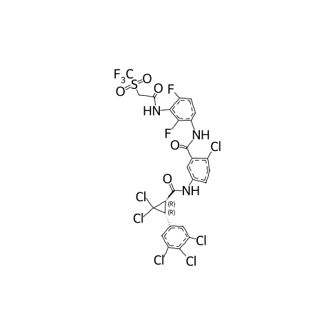 O=C(CS(=O)(=O)C(F)(F)F)Nc1c(F)ccc(NC(=O)c2cc(NC(=O)[C@H]3[C@H](c4cc(Cl)c(Cl)c(Cl)c4)C3(Cl)Cl)ccc2Cl)c1F